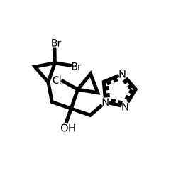 OC(CC1CC1(Br)Br)(Cn1cncn1)C1(Cl)CC1